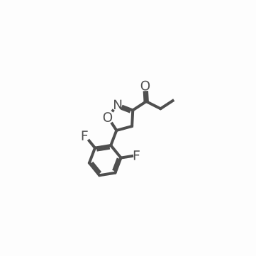 CCC(=O)C1=NOC(c2c(F)cccc2F)C1